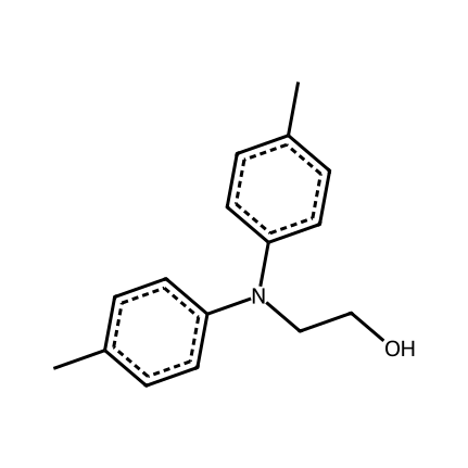 Cc1ccc(N(CCO)c2ccc(C)cc2)cc1